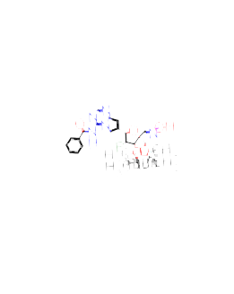 CC(C)(C)[Si](C)(C)OC[C@@]1(/C=N/O)O[C@@H](c2cc3ncnc(NC(=O)c4ccccc4)n3c2)[C@H](F)[C@@H]1O[Si](C)(C)C(C)(C)C